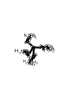 CC(C)(C)C(=O)SC1CC(=O)N(COCCOCC(COCCOCN2C(=O)CC(SC(=O)C(C)(C)C)C2=O)(COCCOCN2C(=O)CC(SC(=O)C(C)(C)C)C2=O)COCCOCN2C(=O)CC(SC(=O)C(C)(C)C)C2=O)C1=O